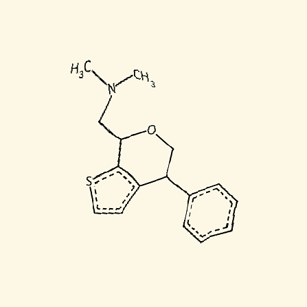 CN(C)CC1OCC(c2ccccc2)c2ccsc21